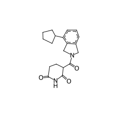 O=C1CCC(C(=O)N2Cc3cccc(C4CCCC4)c3C2)C(=O)N1